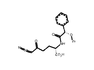 CC(C)O[C@H](C(=O)N[C@@H](CCC(=O)C=[N+]=[N-])C(=O)O)c1ccccc1